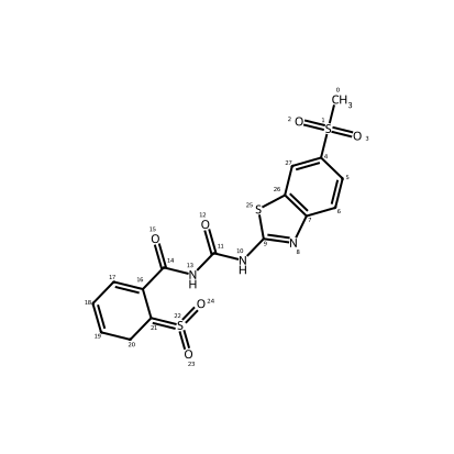 CS(=O)(=O)c1ccc2nc(NC(=O)NC(=O)C3=CC=CCC3=S(=O)=O)sc2c1